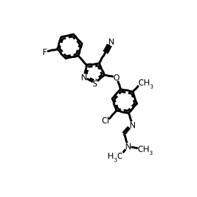 Cc1cc(N=CN(C)C)c(Cl)cc1Oc1snc(-c2cccc(F)c2)c1C#N